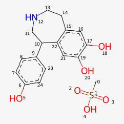 CS(=O)(=O)O.Oc1ccc(C2CNCCc3cc(O)c(O)cc32)cc1